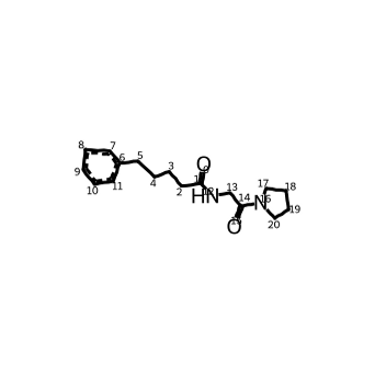 O=C(CCCCc1ccccc1)NCC(=O)N1CCCC1